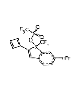 CCCc1ccc2c(c1)S(OS(=O)(=O)C(F)(F)F)(C(F)(F)F)C(C1=CC=C1)=C2